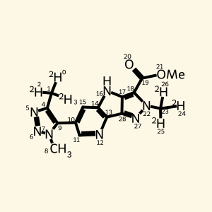 [2H]C([2H])([2H])c1nnn(C)c1-c1cnc2c(c1)[nH]c1c(C(=O)OC)n(C([2H])([2H])[2H])nc12